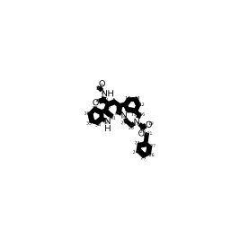 O=CNC(=O)/C(=C/c1cn2c3c(cccc13)CN(C(=O)OCc1ccccc1)CC2)c1c[nH]c2ccccc12